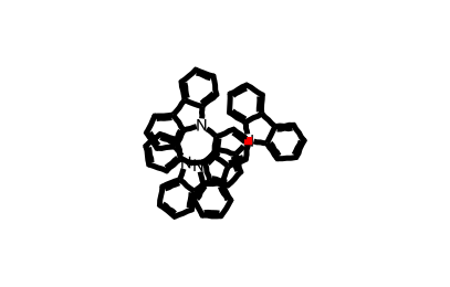 c1ccc(-n2c3ccccc3c3cccc(-n4c5ccccc5c5cccc(-n6c7ccccc7c7ccc(-n8c9ccccc9c9ccccc98)cc76)c54)c32)cc1